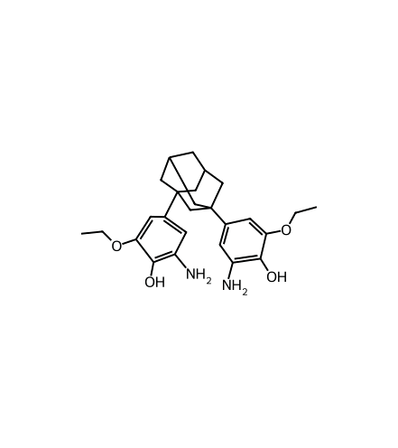 CCOc1cc(C23CC4CC(C2)CC(c2cc(N)c(O)c(OCC)c2)(C4)C3)cc(N)c1O